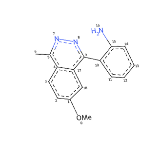 COc1ccc2c(C)nnc(-c3ccccc3N)c2c1